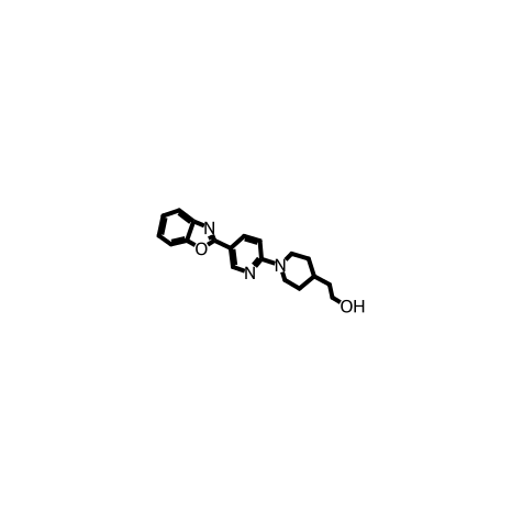 OCCC1CCN(c2ccc(-c3nc4ccccc4o3)cn2)CC1